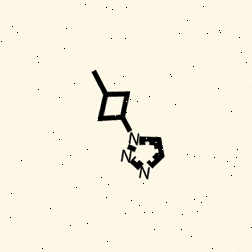 CC1CC(n2ccnn2)C1